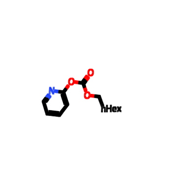 CCCCCCCOC(=O)Oc1ccccn1